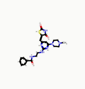 CN1CCN(c2cc(C=C3SC(=O)NC3=O)nc(NCCNC(=O)c3ccccc3)n2)CC1